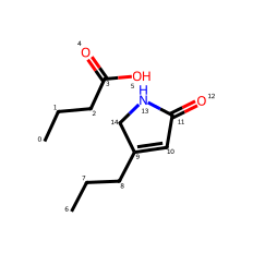 CCCC(=O)O.CCCC1=CC(=O)NC1